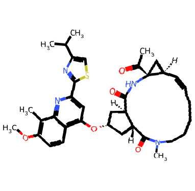 COc1ccc2c(O[C@@H]3C[C@H]4C(=O)N[C@]5(C(C)=O)C[C@H]5/C=C\CCCCN(C)C(=O)[C@@H]4C3)cc(-c3nc(C(C)C)cs3)nc2c1C